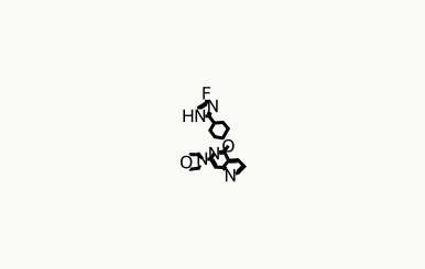 Fc1c[nH]c(C2CCC(Oc3nc(N4CCOCC4)cc4ncccc34)CC2)n1